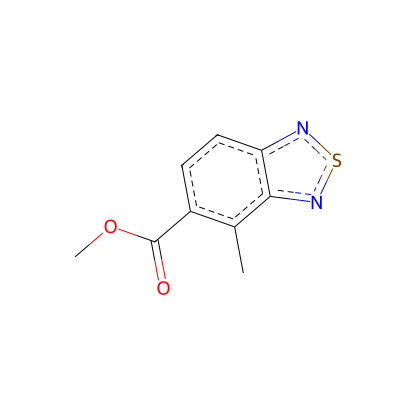 COC(=O)c1ccc2nsnc2c1C